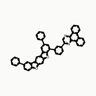 c1ccc(-c2ccc3oc4cc5oc6c(-c7cccc(-c8cnc9c%10ccccc%10c%10ccccc%10c9n8)c7)cc(-c7ccccc7)cc6c5cc4c3c2)cc1